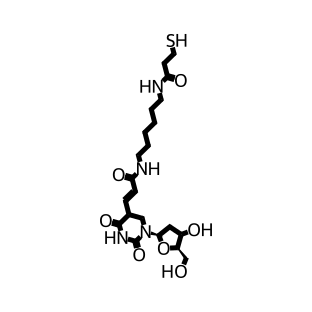 O=C(/C=C/C1CN([C@H]2CC(O)[C@@H](CO)O2)C(=O)NC1=O)NCCCCCCNC(=O)CCS